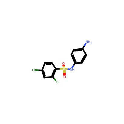 Nc1ccc(NS(=O)(=O)c2ccc(Cl)cc2Cl)cc1